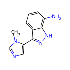 Cn1cncc1-c1n[nH]c2c(N)cccc12